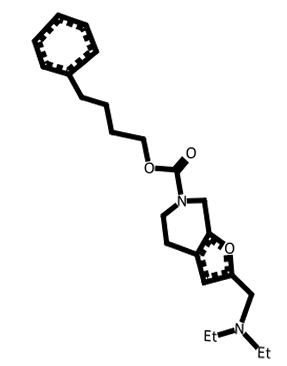 CCN(CC)Cc1cc2c(o1)CN(C(=O)OCCCCc1ccccc1)CC2